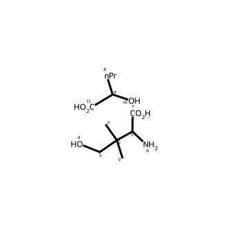 CC(C)(CO)C(N)C(=O)O.CCCC(O)C(=O)O